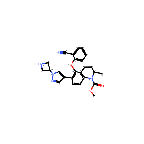 COC(=O)N1c2ccc(-c3cnn(C4CNC4)c3)c(Oc3ccccc3C#N)c2CCC1C